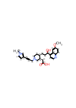 COc1ccc2nccc(C(O)CC[C@@H]3CCN(CC#Cc4ccn(C)c4)C[C@@H]3CC(=O)O)c2c1